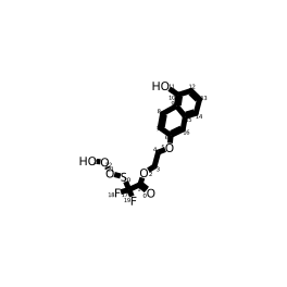 O=C(OCCOc1ccc2c(O)cccc2c1)C(F)(F)SOOO